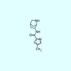 Cc1cnc(C(=O)NC2CC3CNC2C3)s1